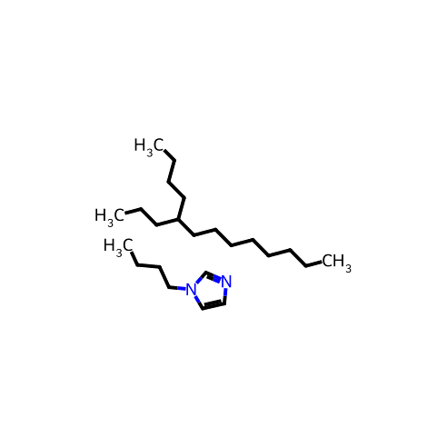 CCCCCCCCC(CCC)CCCC.CCCCn1ccnc1